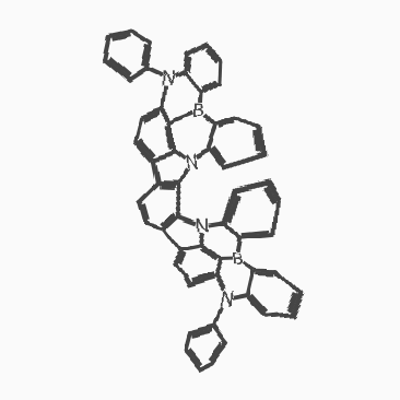 c1ccc(N2c3ccccc3B3c4ccccc4-n4c5c3c2ccc5c2ccc3c5ccc6c7c5n(c3c24)-c2ccccc2B7c2ccccc2N6c2ccccc2)cc1